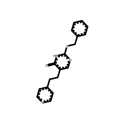 O=c1[nH]c(SCc2ccccc2)ncc1CCc1ccncc1